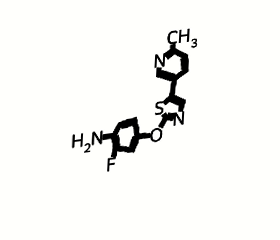 Cc1ccc(-c2cnc(Oc3ccc(N)c(F)c3)s2)cn1